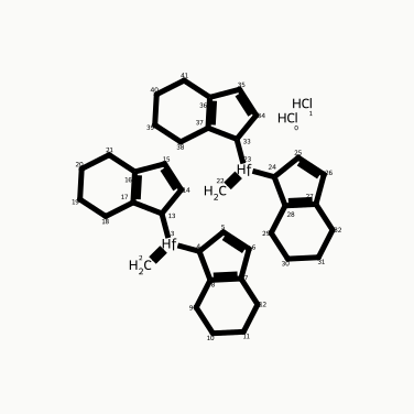 Cl.Cl.[CH2]=[Hf]([CH]1C=CC2=C1CCCC2)[CH]1C=CC2=C1CCCC2.[CH2]=[Hf]([CH]1C=CC2=C1CCCC2)[CH]1C=CC2=C1CCCC2